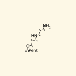 CCCCCOCCCNCCCN